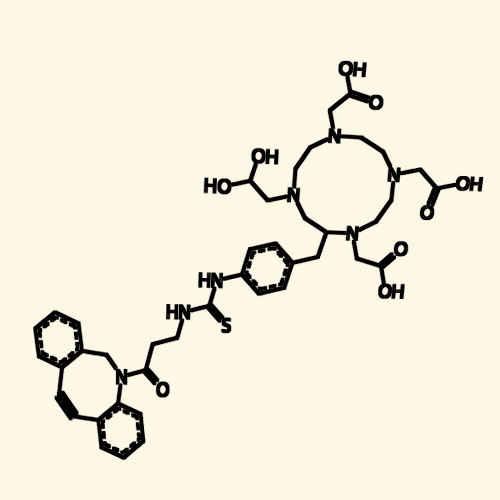 O=C(O)CN1CCN(CC(=O)O)CCN(CC(=O)O)C(Cc2ccc(NC(=S)NCCC(=O)N3Cc4ccccc4C#Cc4ccccc43)cc2)CN(CC(O)O)CC1